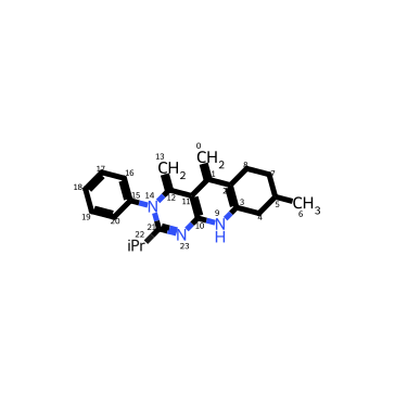 C=C1C2=C(CC(C)CC2)NC2=C1C(=C)N(c1ccccc1)C(C(C)C)=N2